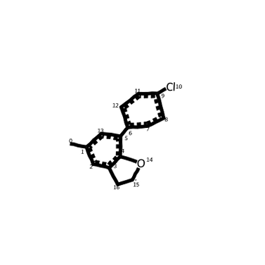 Cc1cc2c(c(-c3ccc(Cl)cc3)c1)O[CH]C2